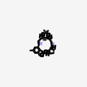 Cc1cc(C)c2c(c1)/C=C/C[C@@H]1OC(C)(C)O[C@@H]1C(C)/C=C\[C@H]1CCC[C@@H]1OC2=O